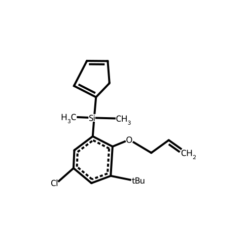 C=CCOc1c(C(C)(C)C)cc(Cl)cc1[Si](C)(C)C1=CC=CC1